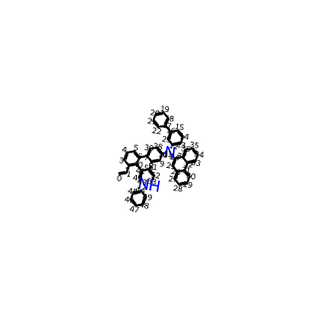 C=Cc1cccc(-c2ccc(N(c3cccc(-c4ccccc4)c3)c3cc4ccccc4c4ccccc34)cc2)c1C(=C/Nc1ccccc1)/C(C)=C\C